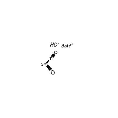 [BaH+].[OH-].[O]=[Ti][Sm]=[O]